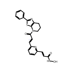 O=C(/C=C/c1cccc(/C=C/C(=O)N2CCCc3nc(-c4ccccc4)sc32)n1)NO